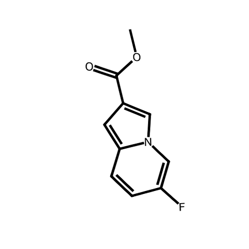 COC(=O)c1cc2ccc(F)cn2c1